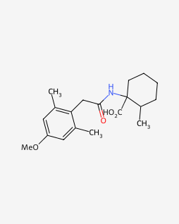 COc1cc(C)c(CC(=O)NC2(C(=O)O)CCCCC2C)c(C)c1